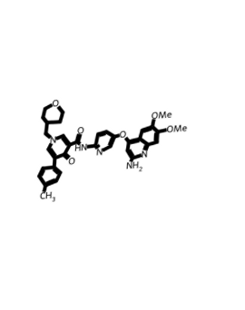 COc1cc2nc(N)cc(Oc3ccc(NC(=O)c4cn(CC5CCOCC5)cc(-c5ccc(C)cc5)c4=O)nc3)c2cc1OC